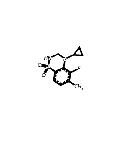 Cc1ccc2c(c1F)N(C1CC1)CNS2(=O)=O